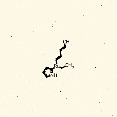 CC=CC=[CH][Ru]([CH2]C)[c]1ccc[nH]1